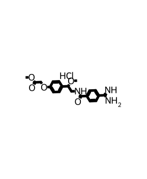 COC(=O)COc1ccc(C(CNC(=O)c2ccc(C(=N)N)cc2)OC)cc1.Cl